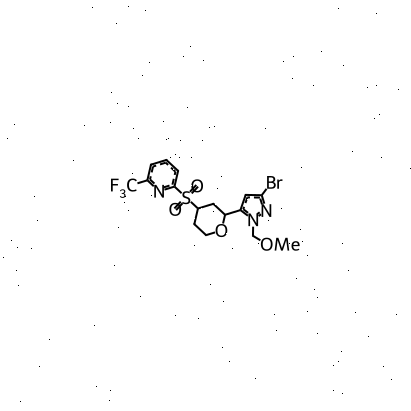 COCn1nc(Br)cc1C1CC(S(=O)(=O)c2cccc(C(F)(F)F)n2)CCO1